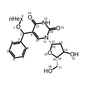 CCCCCCOC(c1ccccc1)c1cn([C@@H]2CC(O)[C@H](CO)O2)c(=O)[nH]c1=O